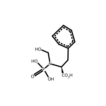 O=C(O)[C@H](Cc1ccccc1)N(CO)P(=O)(O)O